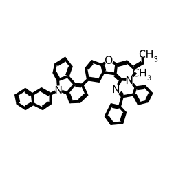 C\C=C/C=c1/oc2ccc(-c3cccc4c3c3ccccc3n4-c3ccc4ccccc4c3)cc2/c1=C1\N=C(c2ccccc2)c2ccccc2N1C